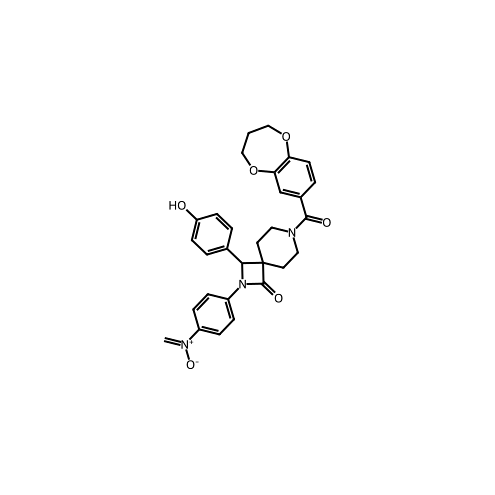 C=[N+]([O-])c1ccc(N2C(=O)C3(CCN(C(=O)c4ccc5c(c4)OCCCO5)CC3)C2c2ccc(O)cc2)cc1